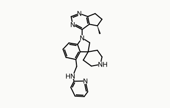 C[C@@H]1CCc2ncnc(N3CC4(CCNCC4)c4c(CNc5ccccn5)cccc43)c21